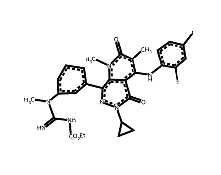 CCOC(=O)NC(=N)N(C)c1cccc(-c2nn(C3CC3)c(=O)c3c(Nc4ccc(I)cc4F)c(C)c(=O)n(C)c23)c1